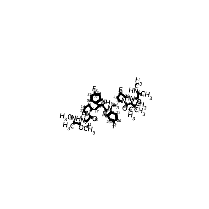 CC[C@H](NC(=O)[C@H](C)NC)C(=O)N1CCC[C@H]1Cc1c(-c2nc3cc(F)ccc3n2CC[C@@H]2C[C@H](F)CN2C(=O)[C@@H](NC(=O)[C@H](C)NC)C(C)(C)C)[nH]c2cc(F)ccc12